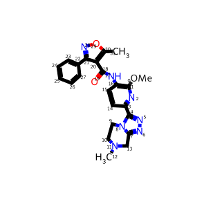 COc1nc(-c2nnc3n2CCN(C)C3)ccc1NC(=O)c1c(-c2ccccc2)noc1C